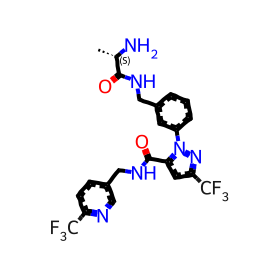 C[C@H](N)C(=O)NCc1cccc(-n2nc(C(F)(F)F)cc2C(=O)NCc2ccc(C(F)(F)F)nc2)c1